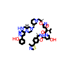 Cc1ncsc1-c1ccc([C@H](C)NC(=O)[C@@H]2C[C@@H](O)CN2C(=O)[C@@H](c2cc(O[C@@H](C)CN3CCC[C@H](CN4CCN5c6cc(-c7ccccc7O)nnc6NC[C@H]5C4)C3)no2)C(C)C)cc1